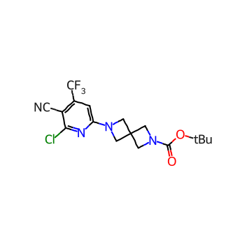 CC(C)(C)OC(=O)N1CC2(C1)CN(c1cc(C(F)(F)F)c(C#N)c(Cl)n1)C2